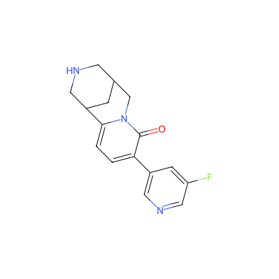 O=c1c(-c2cncc(F)c2)ccc2n1CC1CNCC2C1